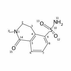 CN1CCc2c(cccc2S(N)(=O)=O)C1=O